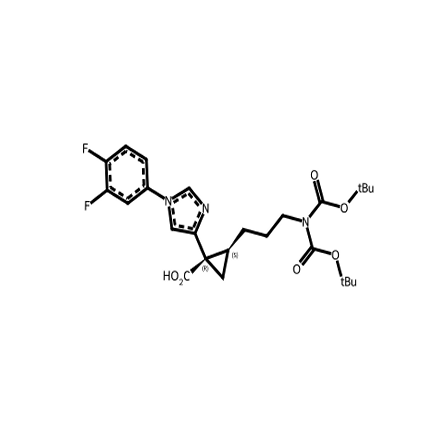 CC(C)(C)OC(=O)N(CCC[C@H]1C[C@]1(C(=O)O)c1cn(-c2ccc(F)c(F)c2)cn1)C(=O)OC(C)(C)C